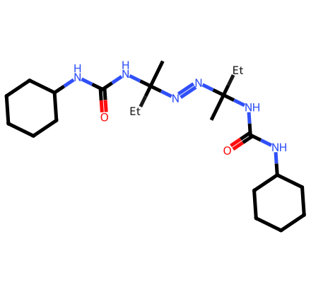 CCC(C)(/N=N/C(C)(CC)NC(=O)NC1CCCCC1)NC(=O)NC1CCCCC1